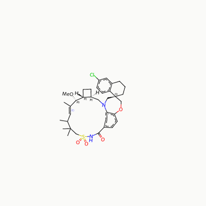 CO[C@H]1/C(C)=C/C(C)C(C)(C)CS(=O)(=O)NC(=O)c2ccc3c(c2)N(C[C@@H]2CC[C@H]21)C[C@@]1(CCCc2cc(Cl)ccc21)CO3